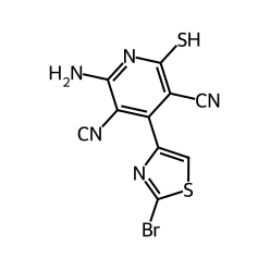 [C-]#[N+]c1c(N)nc(S)c(C#N)c1-c1csc(Br)n1